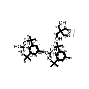 Cc1cc(C(C)(C)C)c([PH](O)(O)O)c(C(C)(C)C)c1.Cc1cc(C(C)(C)C)c([PH](O)(O)O)c(C(C)(C)C)c1.OCC(CO)(CO)CO